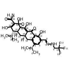 CN(C)c1cc(/C=N/NCC(F)(F)F)c(O)c2c1C[C@H]1C[C@H]3[C@H](N(C)C)C(O)=C(C(N)=O)C4(O)O[C@]34C(O)=C1C2=O